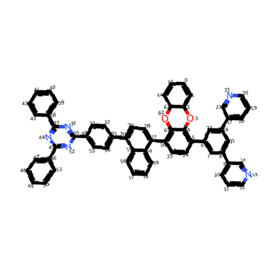 C1=CC2Oc3c(-c4cc(-c5cccnc5)cc(-c5cccnc5)c4)ccc(-c4ccc(-c5ccc(-c6nc(-c7ccccc7)nc(-c7ccccc7)n6)cc5)c5ccccc45)c3OC2C=C1